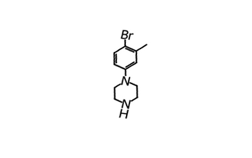 Cc1cc(N2CCNCC2)ccc1Br